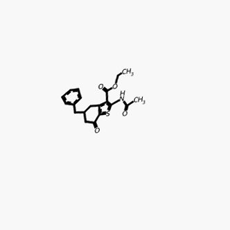 CCOC(=O)c1c(NC(C)=O)sc2c1CC(Cc1ccccc1)CC2=O